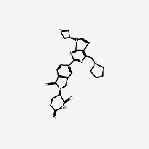 O=C1CCC(N2Cc3cc(-c4nc(CN5CCCC5)c5ccn(C6COC6)c5n4)ccc3C2=O)C(=O)N1